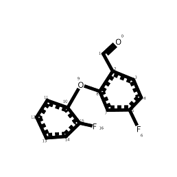 O=Cc1ccc(F)cc1Oc1ccccc1F